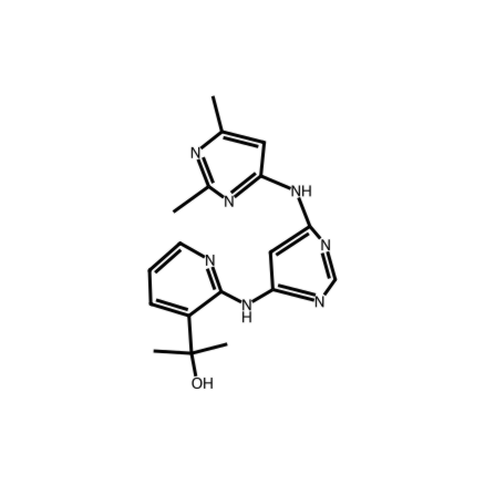 Cc1cc(Nc2cc(Nc3ncccc3C(C)(C)O)ncn2)nc(C)n1